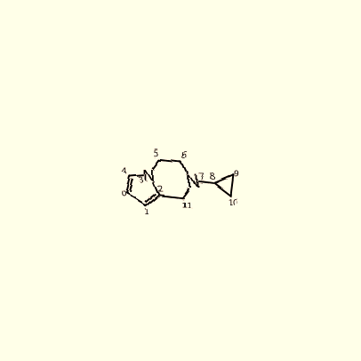 c1cc2n(c1)CCN(C1CC1)C2